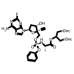 C#C[C@]1(CO[P@](=O)(N[C@@H](C)C(=O)OC(CCCCCCCCCCC)CCCCCCCCCCC)Oc2ccccc2)O[C@@H](n2cnc3c(N)nc(F)nc32)C[C@@H]1O